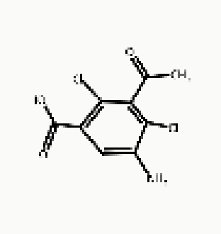 CC(=O)c1c(Cl)c(N)cc(C(=O)O)c1Cl